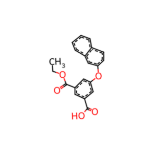 CCOC(=O)c1cc(Oc2ccc3ccccc3c2)cc(C(=O)O)c1